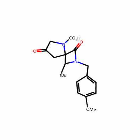 COc1ccc(CN2C(=O)C3(CC(=O)CN3C(=O)O)C2C(C)(C)C)cc1